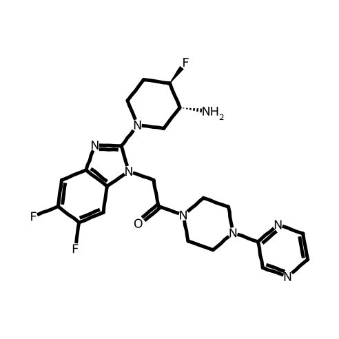 N[C@@H]1CN(c2nc3cc(F)c(F)cc3n2CC(=O)N2CCN(c3cnccn3)CC2)CC[C@H]1F